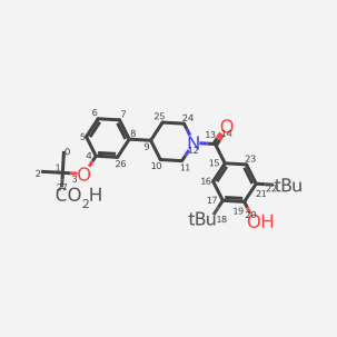 CC(C)(Oc1cccc(C2CCN(C(=O)c3cc(C(C)(C)C)c(O)c(C(C)(C)C)c3)CC2)c1)C(=O)O